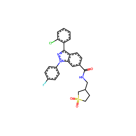 O=C(NCC1CCS(=O)(=O)C1)c1ccc2c(-c3ccccc3Cl)nn(-c3ccc(F)cc3)c2c1